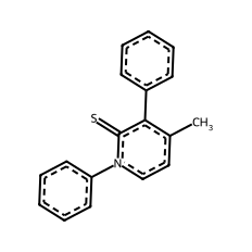 Cc1ccn(-c2ccccc2)c(=S)c1-c1ccccc1